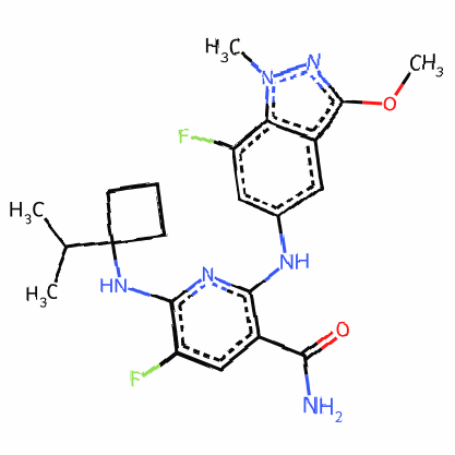 COc1nn(C)c2c(F)cc(Nc3nc(NC4(C(C)C)CCC4)c(F)cc3C(N)=O)cc12